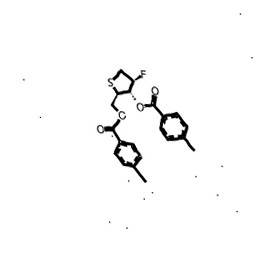 Cc1ccc(C(=O)OC[C@H]2SC[C@@H](F)[C@@H]2OC(=O)c2ccc(C)cc2)cc1